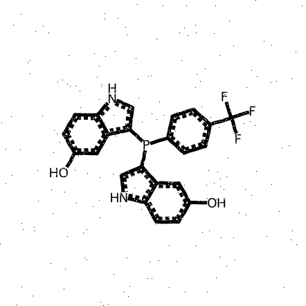 Oc1ccc2[nH]cc(P(c3ccc(C(F)(F)F)cc3)c3c[nH]c4ccc(O)cc34)c2c1